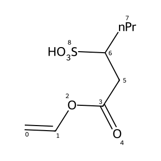 C=COC(=O)CC(CCC)S(=O)(=O)O